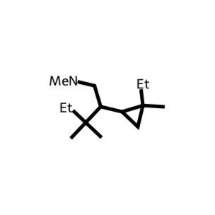 CCC(C)(C)C(CNC)C1CC1(C)CC